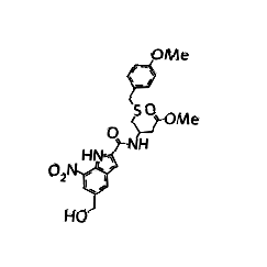 COC(=O)CC(CSCc1ccc(OC)cc1)NC(=O)c1cc2cc(CO)cc([N+](=O)[O-])c2[nH]1